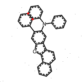 c1ccc(-c2cc3oc4c5ccccc5ccc4c3cc2N(c2ccccc2)c2ccccc2)cc1